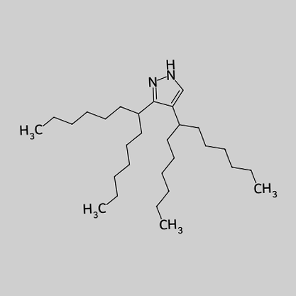 CCCCCCC(CCCCCC)c1c[nH]nc1C(CCCCCC)CCCCCC